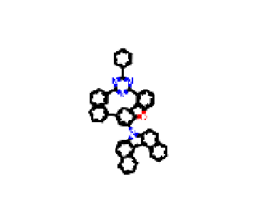 c1ccc(-c2cc(-n3c4ccc5ccccc5c4c4c5ccccc5ccc43)c3oc4cccc(-c5nc(-c6ccccc6)nc(-c6ccccc6)n5)c4c3c2)cc1